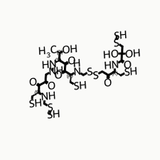 C[C@@H](O)[C@H](NNCC(=O)C(=O)[C@H](CS)NCSS)C(=O)C(=O)[C@H](CS)NCSSCC(=O)[C@H](CS)NC(=O)C(O)(O)CSS